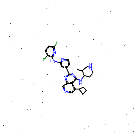 CC1CNCCC1Nc1nc(-c2ccnc(Nc3nc(F)ccc3F)c2)nc2cncc(C3CCC3)c12